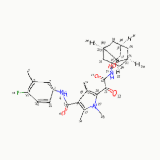 Cc1cc(NC(=O)c2c(C)c(C(=O)C(=O)NC34C[C@H]5C[C@H](C3)[C@H](O)[C@@H](C5)C4)n(C)c2C)ccc1F